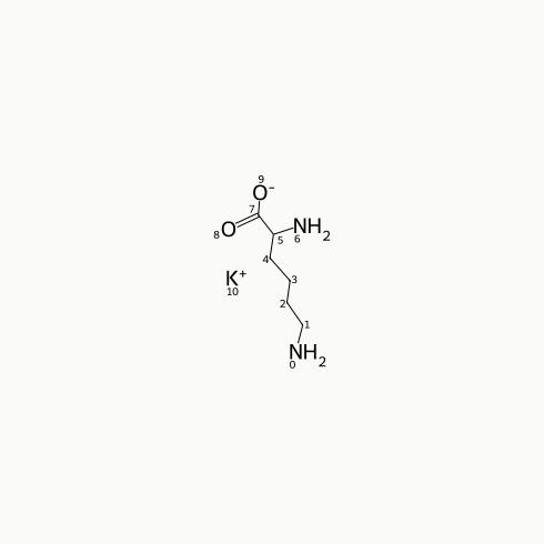 NCCCCC(N)C(=O)[O-].[K+]